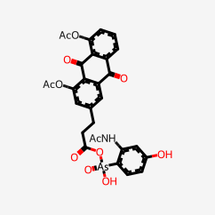 CC(=O)Nc1cc(O)ccc1[As](=O)(O)OC(=O)CCc1cc(OC(C)=O)c2c(c1)C(=O)c1cccc(OC(C)=O)c1C2=O